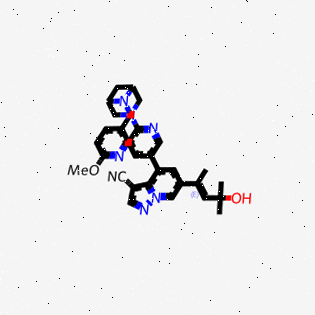 COc1ccc(CN2C3CC2CN(c2ccc(-c4cc(/C(C)=C/C(C)(C)O)cn5ncc(C#N)c45)cn2)C3)cn1